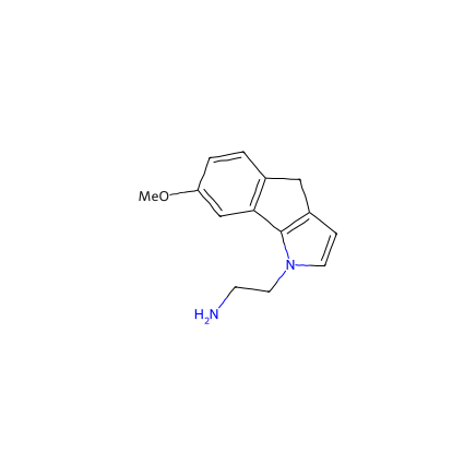 COc1ccc2c(c1)-c1c(ccn1CCN)C2